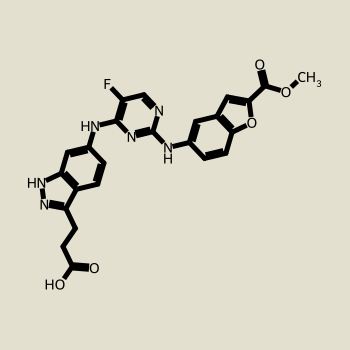 COC(=O)c1cc2cc(Nc3ncc(F)c(Nc4ccc5c(CCC(=O)O)n[nH]c5c4)n3)ccc2o1